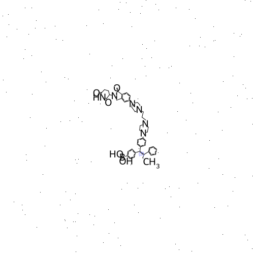 CC/C(=C(\c1ccc(B(O)O)cc1)c1ccc(N2CCN(CCCN3CCN(c4ccc5c(c4)CN(C4CCC(=O)NC4=O)C5=O)CC3)CC2)cc1)c1ccccc1